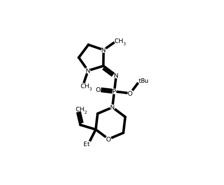 C=CC1(CC)CN(P(=O)(N=C2N(C)CCN2C)OC(C)(C)C)CCO1